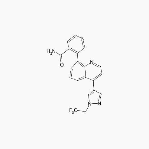 NC(=O)c1ccncc1-c1cccc2c(-c3cnn(CC(F)(F)F)c3)ccnc12